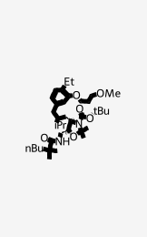 CCCCC(C)(C)C(=O)NC[C@H]1OC(C)(C)N(C(=O)OC(C)(C)C)[C@H]1CC(Cc1ccc(CC)c(OCCCOC)c1)C(C)C